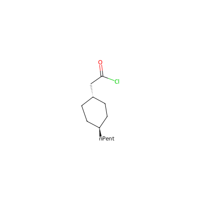 CCCCC[C@H]1CC[C@H](CC(=O)Cl)CC1